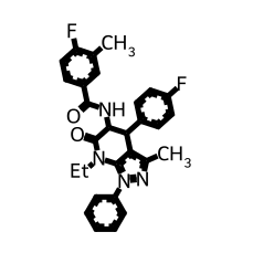 CCN1C(=O)C(NC(=O)c2ccc(F)c(C)c2)C(c2ccc(F)cc2)c2c(C)nn(-c3ccccc3)c21